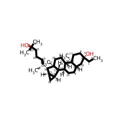 CC[C@]1(O)CC[C@@]2(C)[C@@H](CC[C@H]3[C@@H]4[C@H]5C[C@H]5[C@H]([C@H](C)CCCC(C)(C)O)[C@@]4(C)CC[C@@H]32)C1